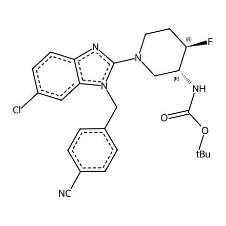 CC(C)(C)OC(=O)N[C@@H]1CN(c2nc3ccc(Cl)cc3n2Cc2ccc(C#N)cc2)CC[C@H]1F